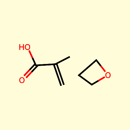 C1COC1.C=C(C)C(=O)O